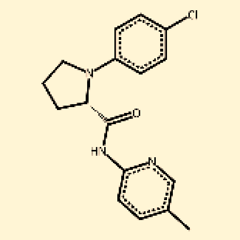 Cc1ccc(NC(=O)[C@@H]2CCCN2c2ccc(Cl)cc2)nc1